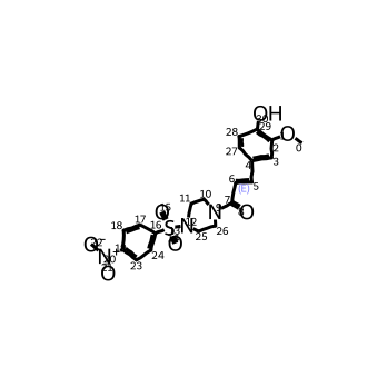 COc1cc(/C=C/C(=O)N2CCN(S(=O)(=O)c3ccc([N+](=O)[O-])cc3)CC2)ccc1O